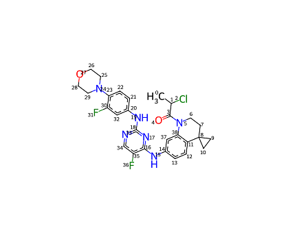 CC(Cl)C(=O)N1CCC2(CC2)c2ccc(Nc3nc(Nc4ccc(N5CCOCC5)c(F)c4)ncc3F)cc21